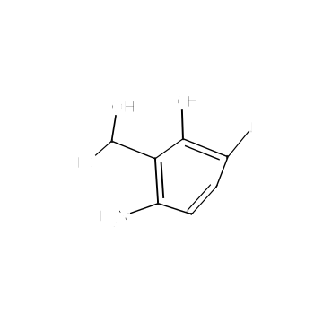 Cc1c(I)ccc(N)c1C(O)O